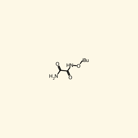 CCC(C)ONC(=O)C(N)=O